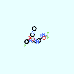 O=S(=O)(C1CCN(C2CCCCC2)CC1)N(Cc1cn2ccc(-c3nnc(C(F)F)o3)cc2n1)c1cccc(F)c1